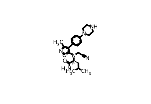 Cc1noc(N(CC#N)[C@@H](CC(C)C)C(N)=O)c1-c1ccc(N2CCNCC2)cc1